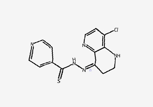 S=C(N/N=C1/CCNc2c(Cl)ccnc21)c1ccncc1